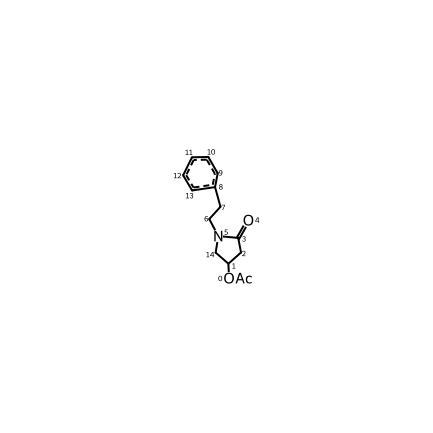 CC(=O)OC1CC(=O)N(CCc2ccccc2)C1